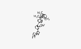 CN(c1ccc(-c2ccc(-c3cnn(C(F)(F)F)c3)cc2O)nn1)[C@@H]1C[C@]2(C)CC[C@](C)(C1)N2